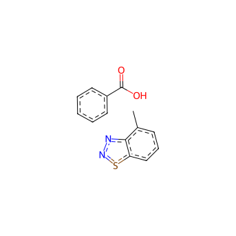 Cc1cccc2snnc12.O=C(O)c1ccccc1